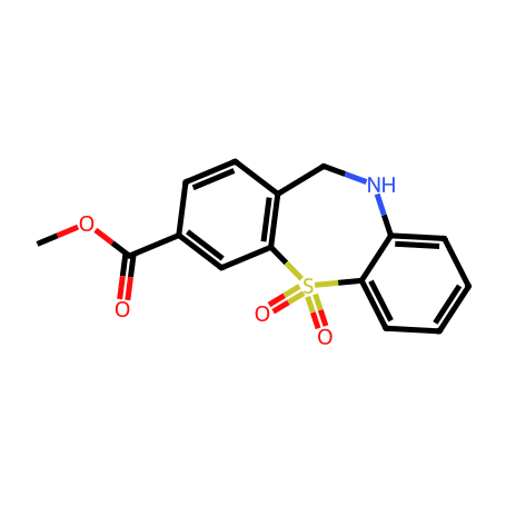 COC(=O)c1ccc2c(c1)S(=O)(=O)c1ccccc1NC2